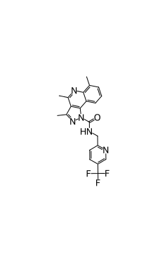 Cc1cccc2c1nc(C)c1c(C)nn(C(=O)NCc3ccc(C(F)(F)F)cn3)c12